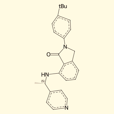 C[C@H](Nc1cccc2c1C(=O)N(c1ccc(C(C)(C)C)cc1)C2)c1ccncc1